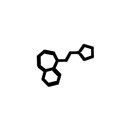 C1=CCC23CCCCC2=CC=CC(CCN2CCCC2)C3=C1